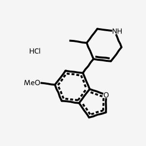 COc1cc(C2=CCNCC2C)c2occc2c1.Cl